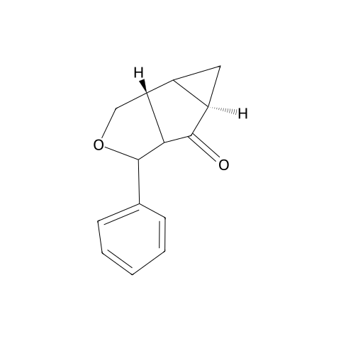 O=C1C2C(c3ccccc3)OC[C@@H]2C2C[C@@H]12